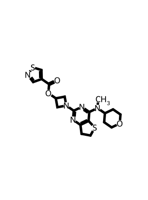 CN(c1nc(N2CC(OC(=O)c3cnsc3)C2)nc2c1SCC2)C1CCOCC1